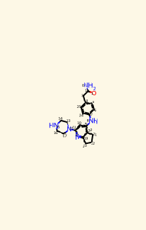 NC(=O)Cc1ccc(Nc2cc(N3CCNCC3)nc3c2CCC3)cc1